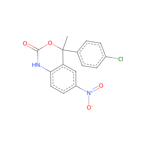 CC1(c2ccc(Cl)cc2)OC(=O)Nc2ccc([N+](=O)[O-])cc21